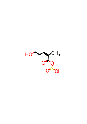 CC(=CCCO)C(=O)OS(=O)O